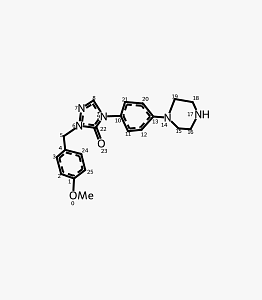 COc1ccc(Cn2ncn(-c3ccc(N4CCNCC4)cc3)c2=O)cc1